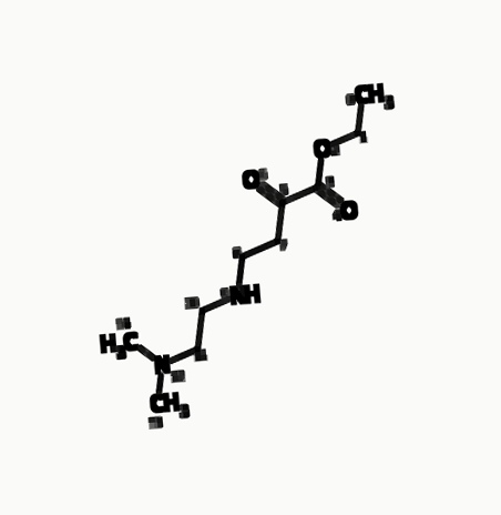 CCOC(=O)C(=O)CCNCCN(C)C